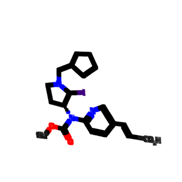 CC(C)(C)OC(=O)N(c1ccc(C=CC(=O)O)cn1)[C@@H]1CCN(CC2CCCC2)C1I